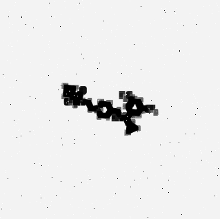 O=C(NCCN1CCC(CNC(=C2CC2)c2cc(C(F)(F)F)cc(C(F)(F)F)c2)CC1)C1(C(F)(F)F)CCC1